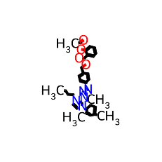 CCCCn1ccn(C2C(C)=CC(C)=CC2C)/c1=N/N=N/c1ccc(COC(=O)c2ccccc2OC(C)=O)cc1